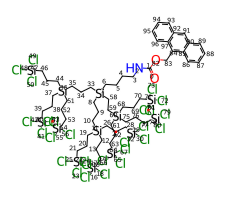 O=C(NCCCC[Si](CCC[Si](CCC[Si](Cl)(Cl)Cl)(CCC[Si](Cl)(Cl)Cl)CCC[Si](Cl)(Cl)Cl)(CCC[Si](CCC[Si](Cl)(Cl)Cl)(CCC[Si](Cl)(Cl)Cl)CCC[Si](Cl)(Cl)Cl)CC[Si](CCC[Si](Cl)(Cl)Cl)(CCC[Si](Cl)(Cl)Cl)CCC[Si](Cl)(Cl)Cl)OCc1c2ccccc2cc2ccccc12